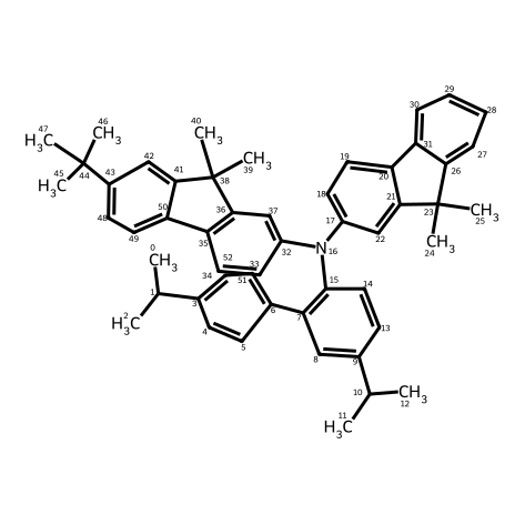 CC(C)c1ccc(-c2cc(C(C)C)ccc2N(c2ccc3c(c2)C(C)(C)c2ccccc2-3)c2ccc3c(c2)C(C)(C)c2cc(C(C)(C)C)ccc2-3)cc1